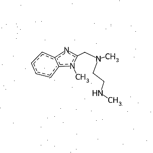 CNCCN(C)Cc1nc2ccccc2n1C